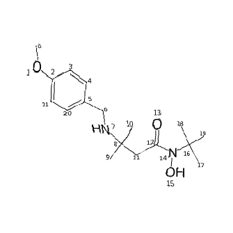 COc1ccc(CNC(C)(C)CC(=O)N(O)C(C)(C)C)cc1